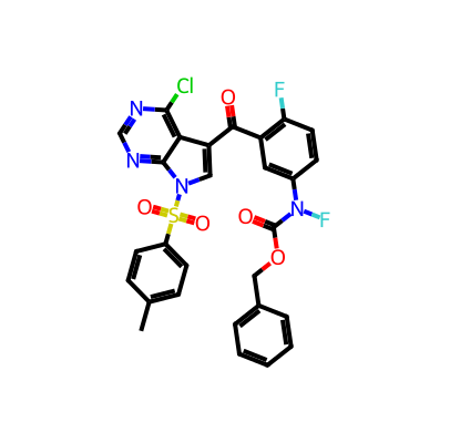 Cc1ccc(S(=O)(=O)n2cc(C(=O)c3cc(N(F)C(=O)OCc4ccccc4)ccc3F)c3c(Cl)ncnc32)cc1